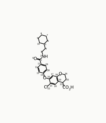 O=C(NCCC1CCCCC1)c1ccc(Oc2cc3c(cc2Cl)C(C(=O)O)CCO3)cc1